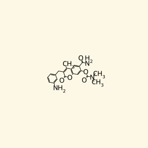 Cc1c(Cc2cccc(N)c2)c(=O)oc2cc(OC(=O)N(C)C)c(C(N)=O)cc12